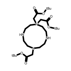 CC(C)(C)OC(=O)CN1CCNCC[N+](CC(=O)OC(C)(C)C)(CC(=O)OC(C)(C)C)CCNCC1